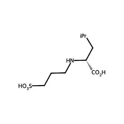 CC(C)C[C@@H](NCCCS(=O)(=O)O)C(=O)O